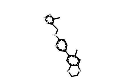 Cc1cc2c(cc1-c1ccc(NCc3snnc3C)nc1)OCCO2